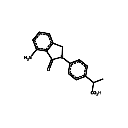 CC(C(=O)O)c1ccc(N2Cc3cccc(N)c3C2=O)cc1